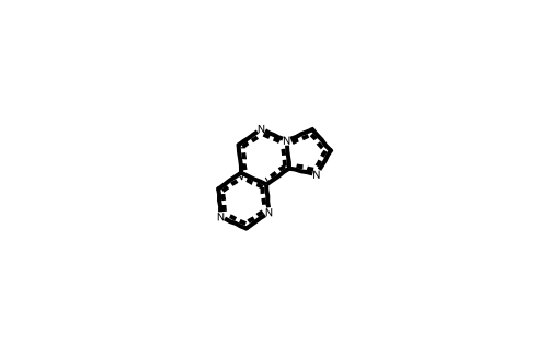 c1ncc2cnn3ccnc3c2n1